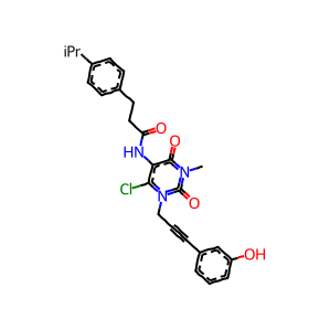 CC(C)c1ccc(CCC(=O)Nc2c(Cl)n(CC#Cc3cccc(O)c3)c(=O)n(C)c2=O)cc1